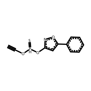 C#CO[PH](=S)Oc1cc(-c2ccccc2)on1